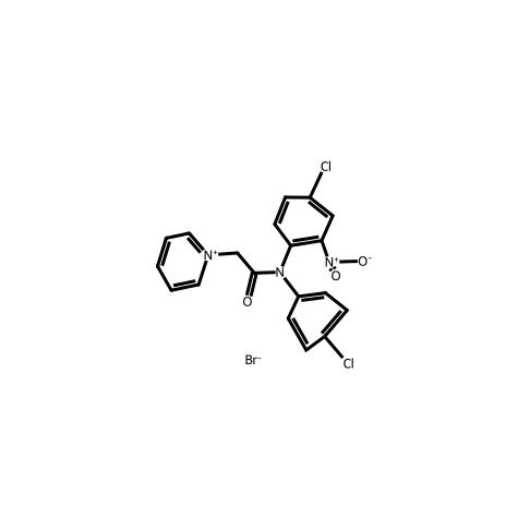 O=C(C[n+]1ccccc1)N(c1ccc(Cl)cc1)c1ccc(Cl)cc1[N+](=O)[O-].[Br-]